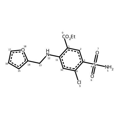 CCOC(=O)c1cc(S(N)(=O)=O)c(Cl)cc1NCc1ccco1